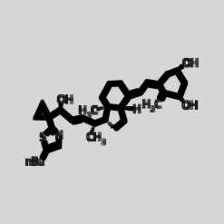 C=C1/C(=C\C=C2/CCC[C@]3(C)[C@@H]([C@H](C)/C=C/[C@H](O)C4(c5ncc(CCCC)s5)CC4)CC[C@@H]23)C[C@@H](O)C[C@@H]1O